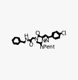 CCCCCC1CN(CC(=O)NCc2ccccc2)C(=O)c2cc(-c3ccc(Cl)cc3)nn21